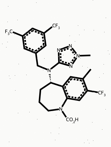 Cc1cc2c(cc1C(F)(F)F)N(C(=O)O)CCC[C@@H]2N(Cc1cc(C(F)(F)F)cc(C(F)(F)F)c1)c1nnn(C)n1